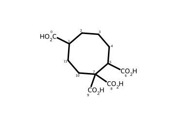 O=C(O)C1CCCC(C(=O)O)C(C(=O)O)(C(=O)O)CC1